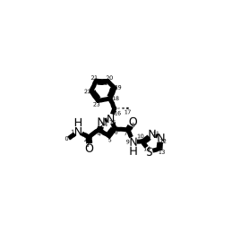 CNC(=O)c1cc(C(=O)Nc2nncs2)n([C@@H](C)c2ccccc2)n1